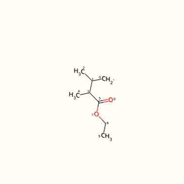 [CH2]C(C)C(C)C(=O)OCC